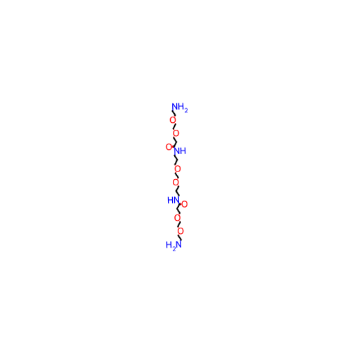 NCCOCCOCCC(=O)NCCCOCCOCCCNC(=O)CCOCCOCCN